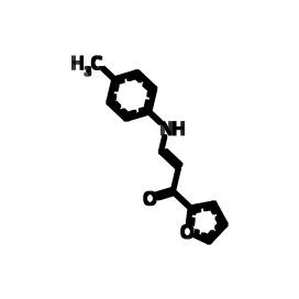 Cc1ccc(N/C=C/C(=O)c2ccco2)cc1